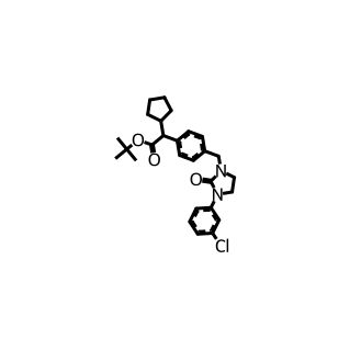 CC(C)(C)OC(=O)C(c1ccc(CN2CCN(c3cccc(Cl)c3)C2=O)cc1)C1CCCC1